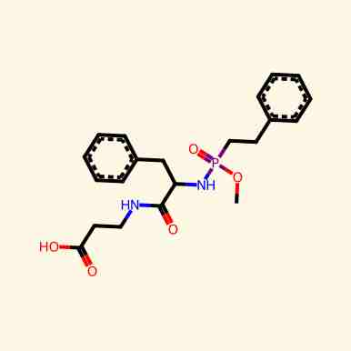 COP(=O)(CCc1ccccc1)NC(Cc1ccccc1)C(=O)NCCC(=O)O